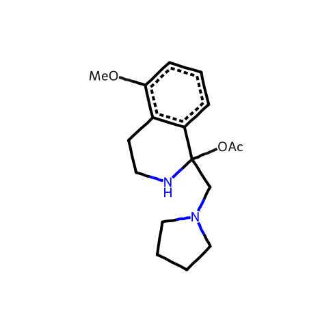 COc1cccc2c1CCNC2(CN1CCCC1)OC(C)=O